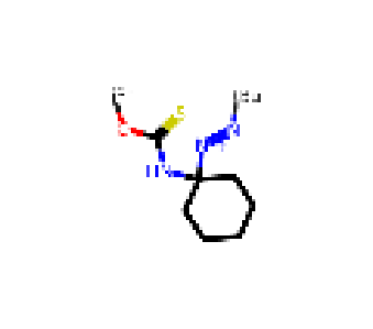 CC(C)OC(=S)NC1(/N=N/C(C)(C)C)CCCCC1